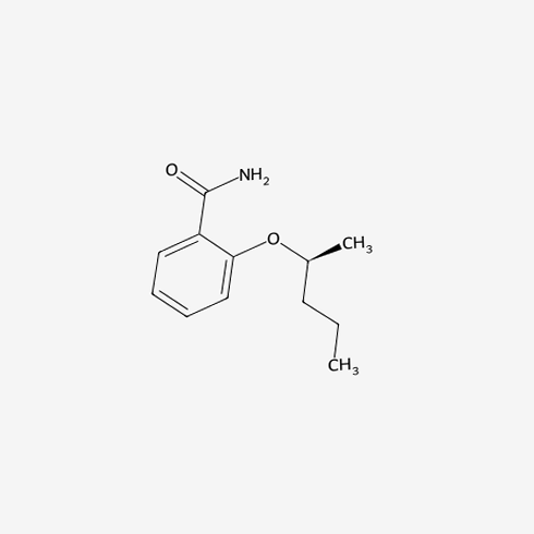 CCC[C@H](C)Oc1ccccc1C(N)=O